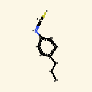 [CH2]CCc1ccc(N=C=S)cc1